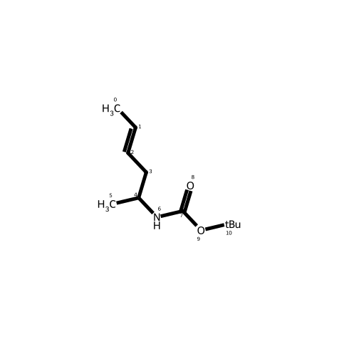 CC=CCC(C)NC(=O)OC(C)(C)C